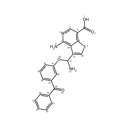 Nc1ncc(C(=O)O)c2scc(C(N)Oc3cccc(C(=O)c4ccccc4)c3)c12